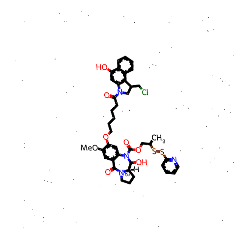 COc1cc2c(cc1OCCCCCC(=O)N1CC(CCl)c3c1cc(O)c1ccccc31)N(C(=O)OCC(C)SSc1ccccn1)C(O)[C@@H]1CCCN1C2=O